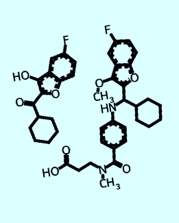 COc1c(C(Nc2ccc(C(=O)N(C)CCC(=O)O)cc2)C2CCCCC2)oc2ccc(F)cc12.O=C(c1oc2ccc(F)cc2c1O)C1CCCCC1